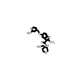 Cc1oc2ccc(OCc3ccnc(O)c3)cc2c1C(=O)NC1(CO)CCOCC1